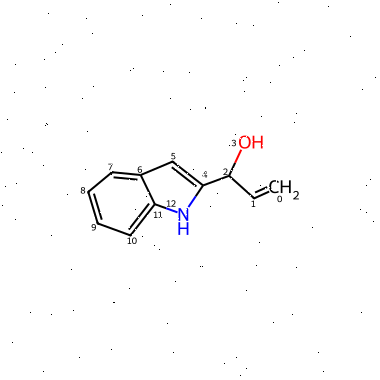 C=CC(O)c1cc2ccccc2[nH]1